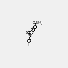 NC(=O)c1ccc2cc(CNCCc3ccc(I)cc3)c(-c3ccsc3)nc2c1